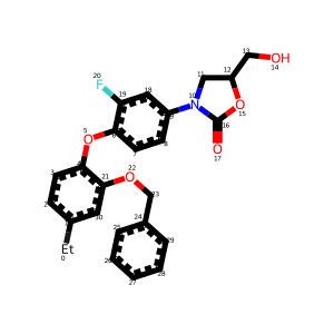 CCc1ccc(Oc2ccc(N3CC(CO)OC3=O)cc2F)c(OCc2ccccc2)c1